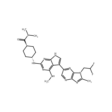 CNc1nc(N[C@H]2CC[C@H](C(=O)N(C)C)CC2)nc2[nH]cc(-c3cnc4nc(C)n(CC(F)F)c4n3)c12